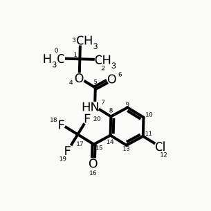 CC(C)(C)OC(=O)Nc1ccc(Cl)cc1C(=O)C(F)(F)F